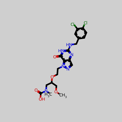 COCC(CN(C)C(=O)O)OCCn1ncc2nc(NCc3ccc(Cl)c(Cl)c3)[nH]c(=O)c21